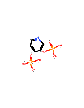 O=P(O)(O)O.O=P(O)(O)O.c1ccncc1